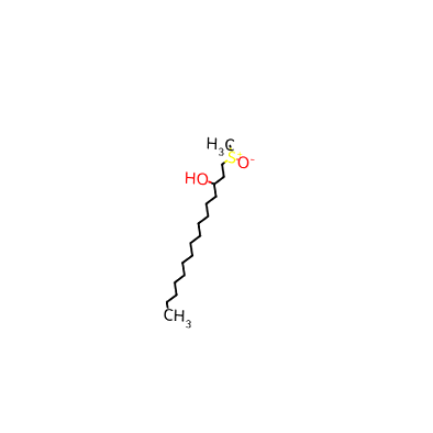 CCCCCCCCCCCCCC(O)CC[S+](C)[O-]